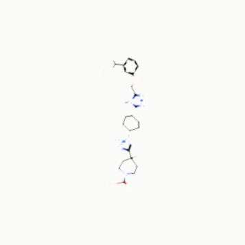 CC(C)c1cccc(OCc2nnc([C@H]3CC[C@H](n4cc(C5(F)CCN(C(=O)O)CC5)nn4)CC3)n2C)c1